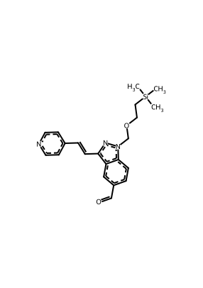 C[Si](C)(C)CCOCn1nc(C=Cc2ccncc2)c2cc(C=O)ccc21